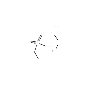 CCOCC.CCS(=O)(=O)O.[KH]